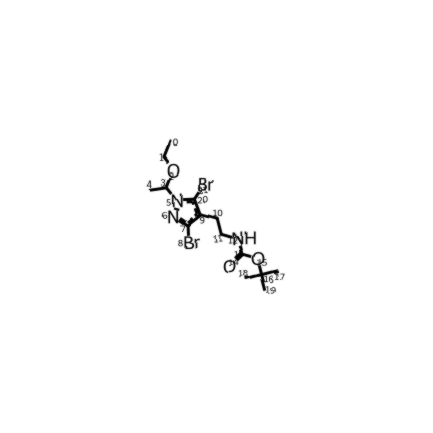 CCOC(C)n1nc(Br)c(CCNC(=O)OC(C)(C)C)c1Br